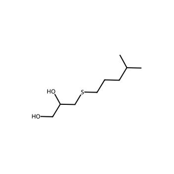 CC(C)CCCSCC(O)CO